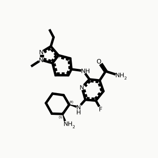 CCc1nn(C)c2ccc(Nc3nc(N[C@@H]4CCCC[C@@H]4N)c(F)cc3C(N)=O)cc12